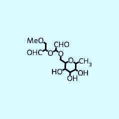 COCC(C=O)OC(C=O)OCC1OC(C)C(O)C(O)C1O